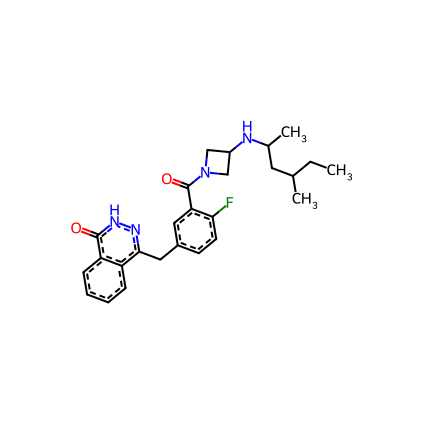 CCC(C)CC(C)NC1CN(C(=O)c2cc(Cc3n[nH]c(=O)c4ccccc34)ccc2F)C1